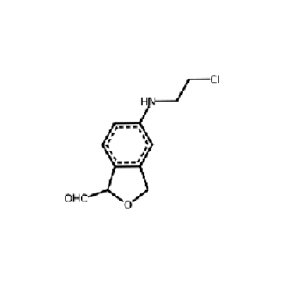 O=CC1OCc2cc(NCCCl)ccc21